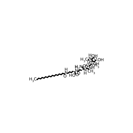 CCCCCCCCCCCCCCCCCC(=O)NCCCC[C@@H](NC(=O)CC[C@@H](NC(=O)[C@H](C)NC(=O)[C@@H](C)O[C@H]1[C@H](O)[C@@H](CO)OC(O)[C@@H]1NC(C)=O)C(N)=O)C(=O)O